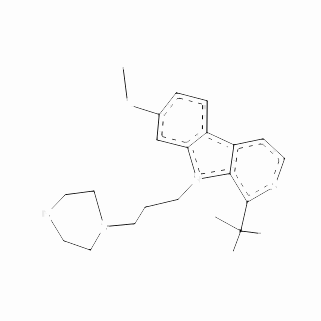 COc1ccc2c3ccnc(C(F)(F)F)c3n(CCCN3CCNCC3)c2c1